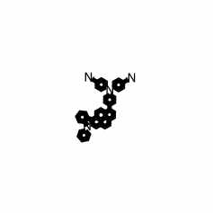 N#Cc1ccc(N(c2ccc(C#N)cc2)c2ccc(-c3ccc4ccc5cc6c(c7ccc3c4c57)c3ccccc3n6-c3ccccc3)cc2)cc1